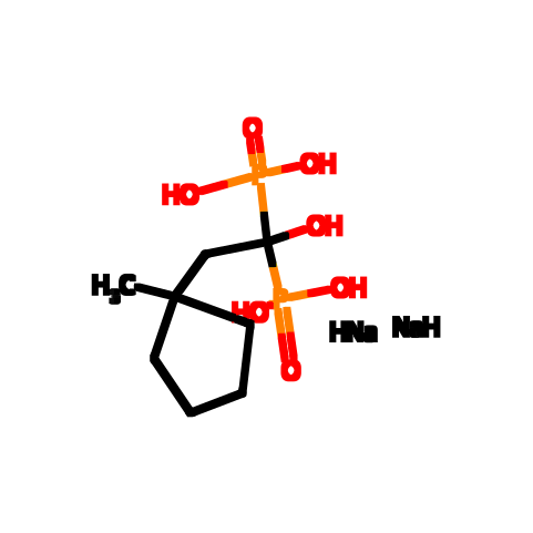 CC1(CC(O)(P(=O)(O)O)P(=O)(O)O)CCCC1.[NaH].[NaH]